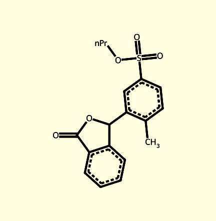 CCCOS(=O)(=O)c1ccc(C)c(C2OC(=O)c3ccccc32)c1